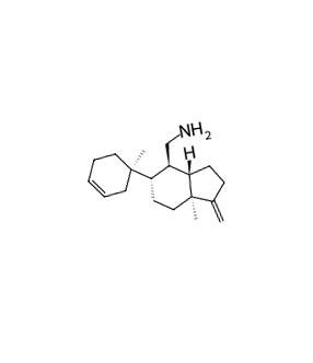 C=C1CC[C@H]2[C@H](CN)[C@@H]([C@@]3(C)CC=CCC3)CC[C@]12C